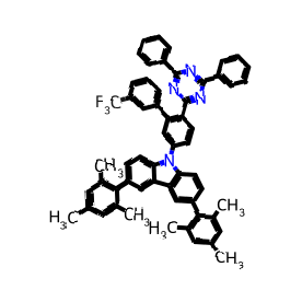 Cc1cc(C)c(-c2ccc3c(c2)c2cc(-c4c(C)cc(C)cc4C)ccc2n3-c2ccc(-c3nc(-c4ccccc4)nc(-c4ccccc4)n3)c(-c3cccc(C(F)(F)F)c3)c2)c(C)c1